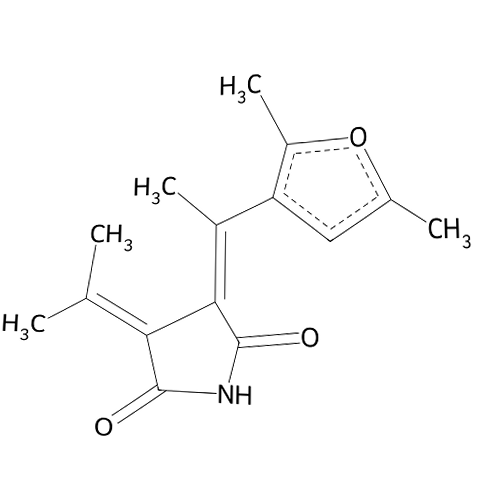 CC(C)=C1C(=O)NC(=O)C1=C(C)c1cc(C)oc1C